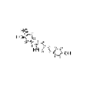 Oc1ccc(CCC2CCC(Cc3ccc(O)c(O)c3)NC2)cc1